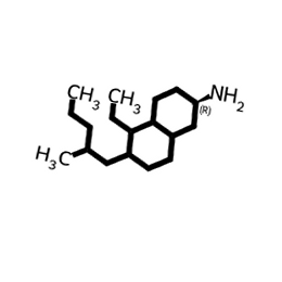 CCCC(C)CC1CCC2C[C@H](N)CCC2C1CC